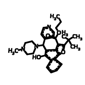 CCCOC(=O)c1c(C(C)(C)C)oc2c1c(C(c1ccncc1)N1CCN(C)CC1)c(O)c1ccccc12